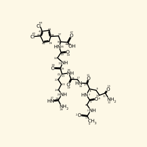 CC(=O)NCC(=O)NC(CCC(N)=O)C(=O)NCC(=O)N[C@@H](CCCNC(=N)N)C(=O)NCC(=O)NC(Cc1ccc(Cl)c(Cl)c1)C(=O)O